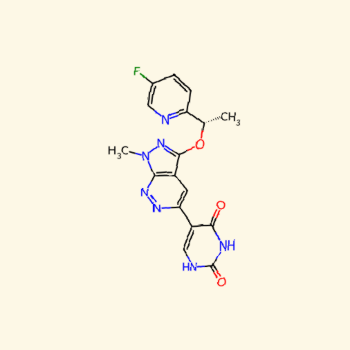 C[C@H](Oc1nn(C)c2nnc(-c3c[nH]c(=O)[nH]c3=O)cc12)c1ccc(F)cn1